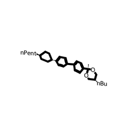 CCCCC[C@H]1CC[C@H](c2ccc(-c3ccc([C@]4(C)OC[C@@H](CCCC)CO4)cc3)cc2)CC1